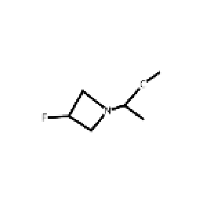 CCC(C)N1CC(F)C1